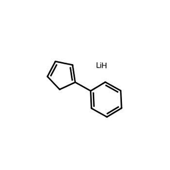 C1=CCC(c2ccccc2)=C1.[LiH]